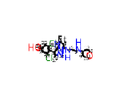 CCc1cc(NCCNC2CCOCC2)n2nc(C)c(-c3c(Cl)cc(O)cc3Cl)c2n1